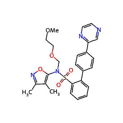 COCCOCN(c1onc(C)c1C)S(=O)(=O)c1ccccc1-c1ccc(-c2cnccn2)cc1